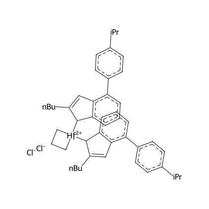 CCCCC1=Cc2c(-c3ccc(C(C)C)cc3)cccc2[CH]1[Hf+2]1([CH]2C(CCCC)=Cc3c(-c4ccc(C(C)C)cc4)cccc32)[CH2]C[CH2]1.[Cl-].[Cl-]